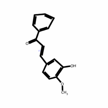 COc1ccc(/C=C/C(=O)c2ccccc2)cc1O